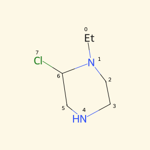 CCN1CCNCC1Cl